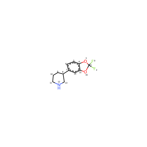 FC1(F)Oc2ccc(C3CCCNC3)cc2O1